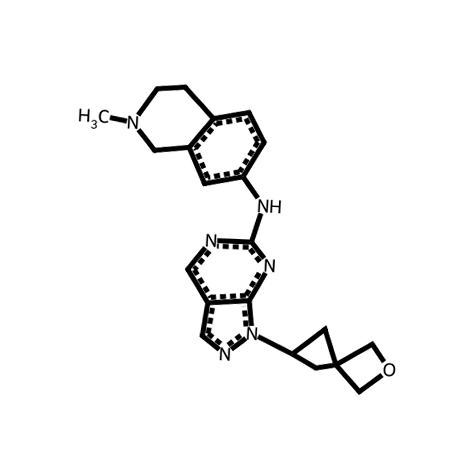 CN1CCc2ccc(Nc3ncc4cnn(C5CC6(COC6)C5)c4n3)cc2C1